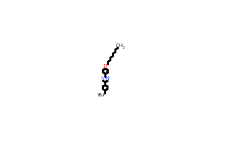 C=CCCCCCCCCOc1ccc(-c2ncc(-c3ccc(CC(C)CC)cc3)cn2)cc1